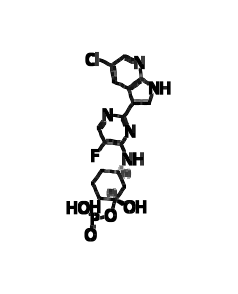 O=[PH](O)O[C@]1(O)CCC[C@H](Nc2nc(-c3c[nH]c4ncc(Cl)cc34)ncc2F)C1